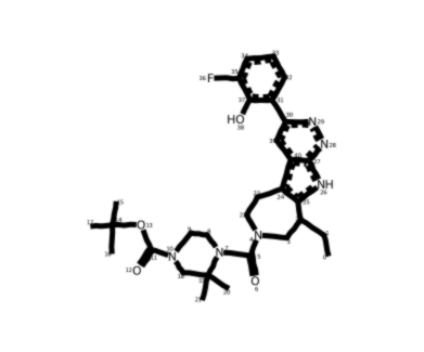 CCC1CN(C(=O)N2CCN(C(=O)OC(C)(C)C)CC2(C)C)CCc2c1[nH]c1nnc(-c3cccc(F)c3O)cc21